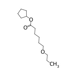 CCCOCCCCCC(=O)OC1CCCC1